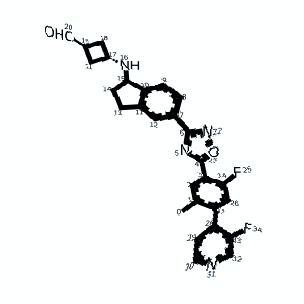 Cc1cc(-c2nc(-c3ccc4c(c3)CCC4N[C@H]3C[C@H](C=O)C3)no2)c(F)cc1-c1ccncc1F